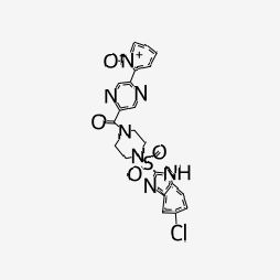 O=C(c1cnc(-c2cccc[n+]2[O-])cn1)N1CCN(S(=O)(=O)c2nc3cc(Cl)ccc3[nH]2)CC1